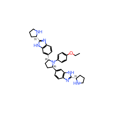 CCOc1ccc(N2[C@@H](c3ccc4nc([C@@H]5CCCN5)[nH]c4c3)CC[C@@H]2c2ccc3nc([C@@H]4CCCN4)[nH]c3c2)cc1